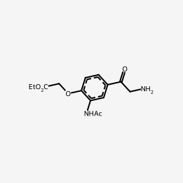 CCOC(=O)COc1ccc(C(=O)CN)cc1NC(C)=O